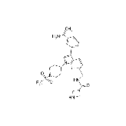 C=C(N)c1cccc(-c2cn(C3CCN(S(=O)(=O)C(F)(F)F)CC3)c3cc(CNC(=O)C4CNC4)ccc23)c1